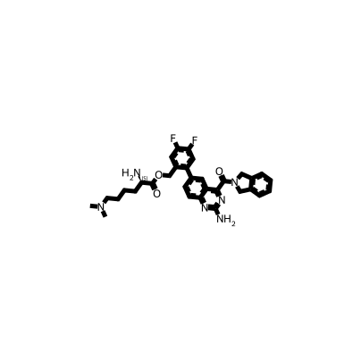 CN(C)CCCC[C@H](N)C(=O)OCc1cc(F)c(F)cc1-c1ccc2nc(N)nc(C(=O)N3Cc4ccccc4C3)c2c1